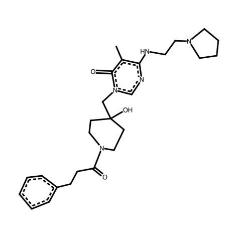 Cc1c(NCCN2CCCC2)ncn(CC2(O)CCN(C(=O)CCc3ccccc3)CC2)c1=O